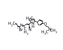 C=C\C=C(Br)/N=C(C)/C=C(\C#N)C(O)NC(CC)C1C=CC(OCCN(C)C)=CC1